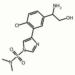 CN(C)S(=O)(=O)n1cnc(-c2cc(C(N)CO)ccc2Cl)c1